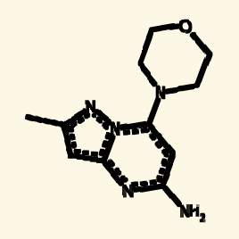 Cc1cc2nc(N)cc(N3CCOCC3)n2n1